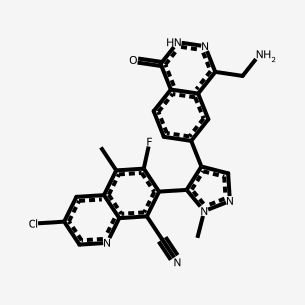 Cc1c(F)c(-c2c(-c3ccc4c(=O)[nH]nc(CN)c4c3)cnn2C)c(C#N)c2ncc(Cl)cc12